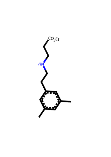 CCOC(=O)CCNCCc1cc(C)cc(C)c1